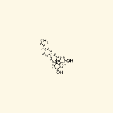 CCCCC1CCC(C2CCC(c3ccc(O)cc3)(c3ccc(O)cc3)CC2)CC1